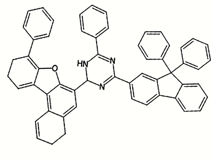 C1=Cc2c(cc(C3N=C(c4ccc5c(c4)C(c4ccccc4)(c4ccccc4)c4ccccc4-5)N=C(c4ccccc4)N3)c3oc4c(c23)=CCCC=4c2ccccc2)CC1